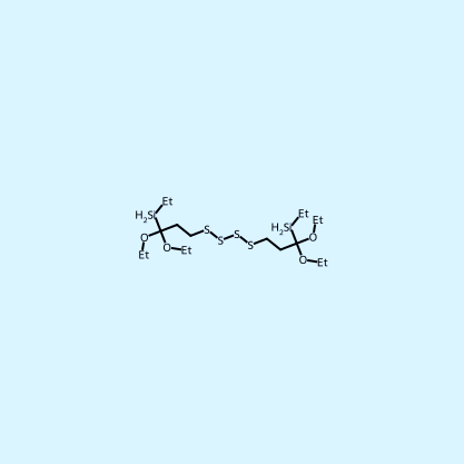 CCOC(CCSSSSCCC(OCC)(OCC)[SiH2]CC)(OCC)[SiH2]CC